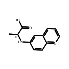 C[C@H](Nc1ccc2ncccc2c1)C(=O)O